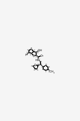 Cc1ccc(C(=CNC(=O)c2sc3c(F)csc3c2O)c2ccco2)cc1